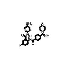 Bc1ccc(NC(=O)c2cc(F)ccc2NC(=O)c2ccc(C(=N)N3CCN(C)CC3)cc2)nc1